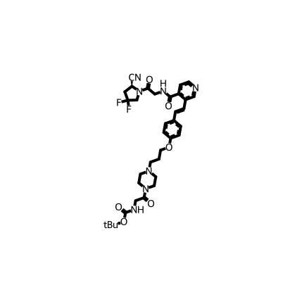 CC(C)(C)OC(=O)NCC(=O)N1CCN(CCCOc2ccc(/C=C/c3cnccc3C(=O)NCC(=O)N3CC(F)(F)C[C@H]3C#N)cc2)CC1